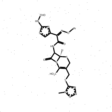 CC(C)O/N=C(\C(=O)NC1C(=O)N2C(C(=O)O)=C(CSc3nnnn3C)CS[C@H]12)c1csc(NC=O)n1